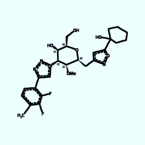 CO[C@@H]1[C@@H](n2cc(-c3ccc(C)c(F)c3F)nn2)[C@@H](O)[C@@H](CO)O[C@@H]1Cc1cc(C2(O)CCCCC2)on1